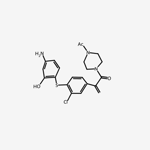 C=C(C(=O)N1CCN(C(C)=O)CC1)c1ccc(Sc2ccc(N)cc2O)c(Cl)c1